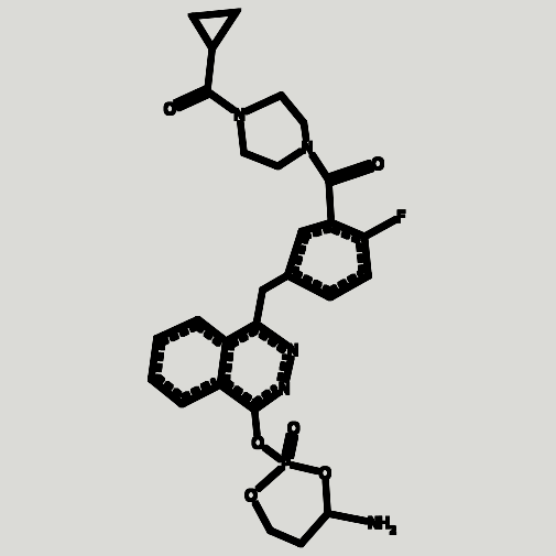 NC1CCOP(=O)(Oc2nnc(Cc3ccc(F)c(C(=O)N4CCN(C(=O)C5CC5)CC4)c3)c3ccccc23)O1